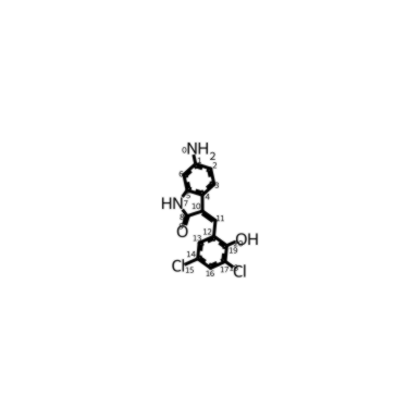 Nc1ccc2c(c1)NC(=O)C2=Cc1cc(Cl)cc(Cl)c1O